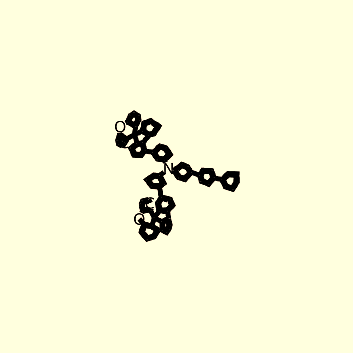 c1ccc(-c2ccc(-c3ccc(N(c4cccc(-c5ccc6c(c5)C5(c7ccccc7Oc7ccccc75)c5ccccc5-6)c4)c4cccc(-c5cccc6c5-c5ccccc5C65c6ccccc6Oc6ccccc65)c4)cc3)cc2)cc1